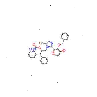 NC(=O)OC(Cn1c(Br)cnc1-c1occc(=O)c1OCc1ccccc1)C(c1ccccc1)c1ccccc1